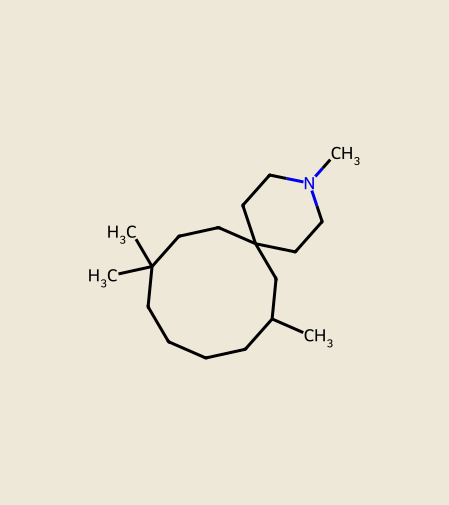 CC1CCCCC(C)(C)CCC2(CCN(C)CC2)C1